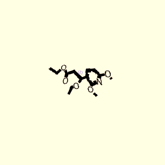 CCOC(=O)/C=C(\OCC)c1ccc(OC)nc1OC